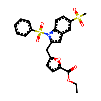 CCOC(=O)c1ccc(Cc2cc3cc(S(C)(=O)=O)ccc3n2S(=O)(=O)c2ccccc2)o1